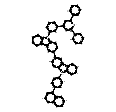 c1ccc(-c2cc(-c3cccc(-n4c5ccccc5c5cc(-c6ccc7c(c6)c6ccccc6n7-c6ccc(-c7cccc8ccccc78)cc6)ccc54)c3)cc(-c3ccccc3)n2)cc1